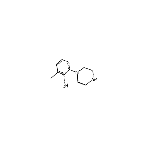 Cc1cccc(N2CCNCC2)c1S